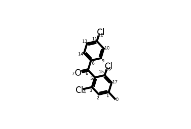 Cc1cc(Cl)c(C(=O)c2ccc(Cl)cc2)c(Cl)c1